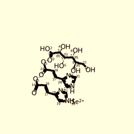 O=C(O)[C@H](O)[C@@H](O)[C@H](O)[C@H](O)CO.O=C([O-])C=Cc1c[nH]cn1.O=C([O-])C=Cc1c[nH]cn1.[Se+2]